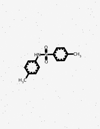 Cc1[c]cc(NS(=O)(=O)c2ccc(C)cc2)cc1